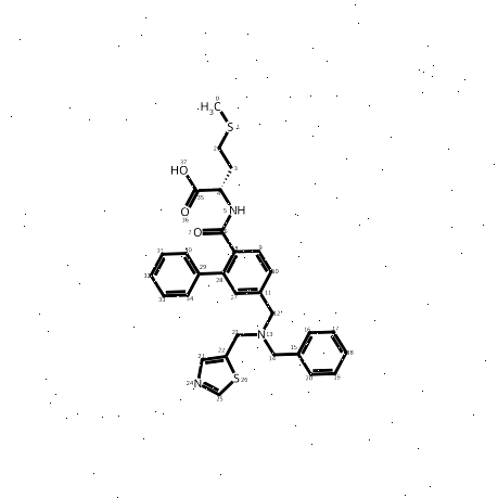 CSCC[C@H](NC(=O)c1ccc(CN(Cc2ccccc2)Cc2cncs2)cc1-c1ccccc1)C(=O)O